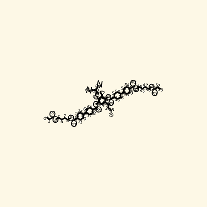 C=CC(=O)OCCCCOC(=O)C1CCC(C2CCC(C(=O)Oc3cc(CCCC)c(OC(=O)C4CCC(C5CCC(C(=O)OCCCCOC(=O)C=C)CC5)CC4)c4c3SC(=C(C#N)C#N)S4)CC2)CC1